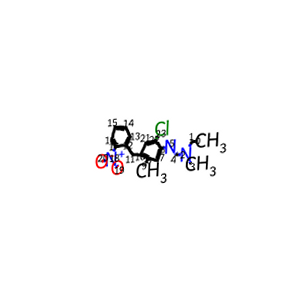 CCN(C)C=Nc1cc(C)c(Cc2ccccc2[N+](=O)[O-])cc1Cl